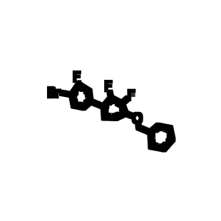 Fc1cc(-c2ccc(OCc3ccccc3)c(F)c2F)ccc1Br